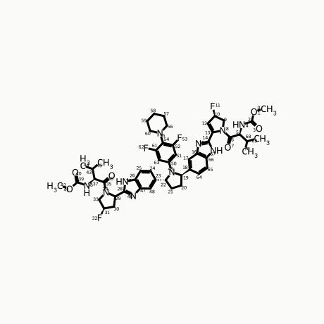 COC(=O)N[C@H](C(=O)N1C[C@H](F)C=C1c1nc2cc([C@H]3CC[C@H](c4ccc5[nH]c(C6C[C@@H](F)CN6C(=O)[C@@H](NC(=O)OC)C(C)C)nc5c4)N3c3cc(F)c(N4CCCCC4)c(F)c3)ccc2[nH]1)C(C)C